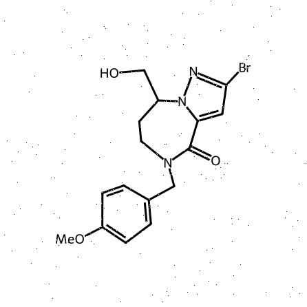 COc1ccc(CN2CCC(CO)n3nc(Br)cc3C2=O)cc1